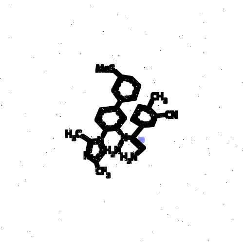 CSc1cccc(-c2ccc(-n3cc(C(F)(F)F)nc3C)c(N(N)/C(=C\N)c3ccc(C)c(C#N)c3)c2)c1